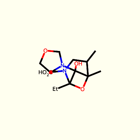 CCC12OC(C)(C(C)CN1C(=O)O)C2(O)N1CCOC1